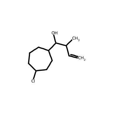 C=CC(C)C(O)C1CCCC(Cl)CC1